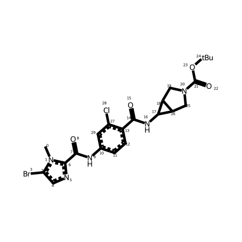 Cn1c(Br)cnc1C(=O)Nc1ccc(C(=O)NC2C3CN(C(=O)OC(C)(C)C)CC32)c(Cl)c1